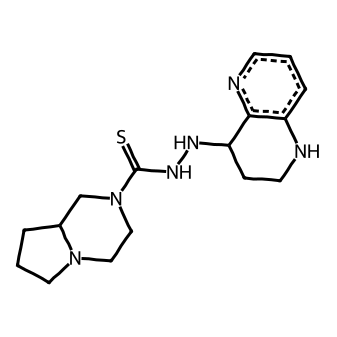 S=C(NNC1CCNc2cccnc21)N1CCN2CCCC2C1